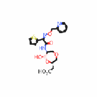 O=C(O)C[C@H]1COC[C@H](NC(=O)/C(=N\OCc2ccccn2)c2cccs2)B(O)O1